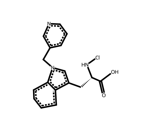 O=C(O)[C@H](Cc1cn(Cc2cccnc2)c2ccccc12)NCl